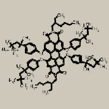 CCCCC(CC)CN1C(=O)c2cc(Oc3ccc(C(C)(C)CC(C)(C)C)cc3)c3c4c(Oc5ccc(C(C)(C)CC(C)(C)C)cc5)cc5c6c(cc(Oc7ccc(C(C)(C)CC(C)(C)C)cc7)c(c7c(Oc8ccc(C(C)(C)CC(C)(C)C)cc8)cc(c2c37)C1=O)c64)C(=O)N(CC(CC)CCCC)C5=O